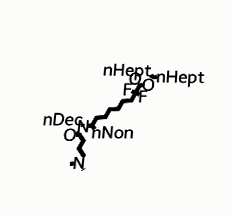 CCCCCCCCCCN(C(=O)CCCN(C)C)C(CCCCCCCCC)CCCCCCC(F)(F)C(=O)OC(CCCCCCC)CCCCCCC